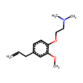 C=CCc1ccc(OCCN(C)C)c(OC)c1